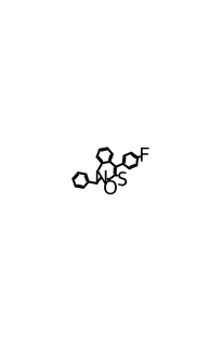 CSC1=C(c2ccc(F)cc2)c2ccccc2CN(Cc2ccccc2)C1=O